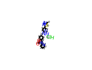 Cc1nnc(-c2ccc(NC[C@H]3CC[C@]4(CC3)CN(c3ccccn3)C(=O)O4)nc2)s1.Cl